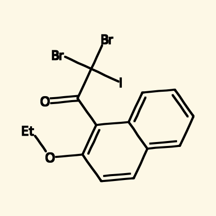 CCOc1ccc2ccccc2c1C(=O)C(Br)(Br)I